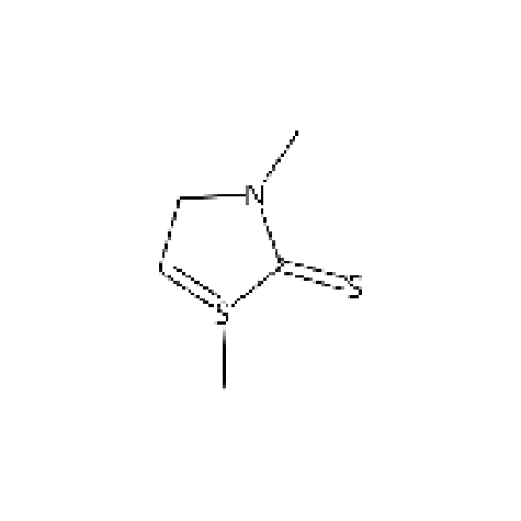 CN1CC=S(C)C1=S